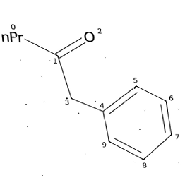 CCCC(=O)[CH]c1ccccc1